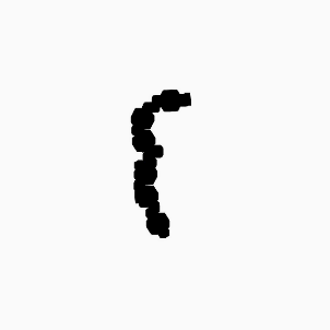 Cc1ccc(COc2ccc(Oc3ccc(/C=C/C(=O)N4CCN(Cc5ccc(CCOc6ccc(Cl)cc6)cc5)CC4)c(C)c3)nc2)cc1